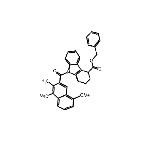 COc1cccc2c(OC)c(C)c(C(=O)n3c4c(c5ccccc53)C(C(=O)OCc3ccccc3)CCC4)cc12